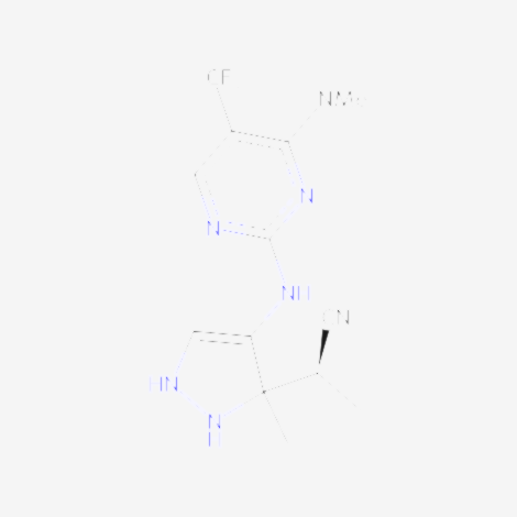 CNc1nc(NC2=CNNC2(C)[C@H](C)C#N)ncc1C(F)(F)F